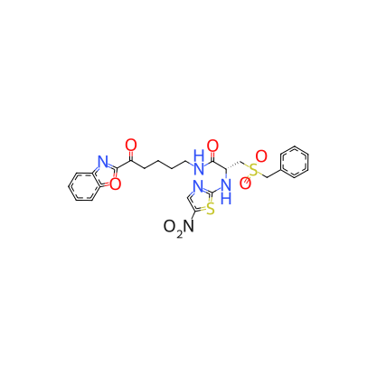 O=C(CCCCNC(=O)[C@H](CS(=O)(=O)Cc1ccccc1)Nc1ncc([N+](=O)[O-])s1)c1nc2ccccc2o1